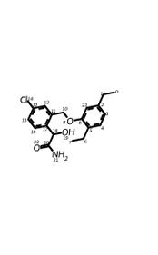 CCc1ccc(CC)c(OCc2cc(Cl)ccc2C(O)C(N)=O)c1